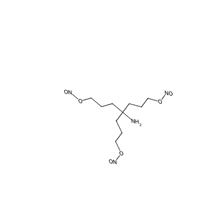 NC(CCCON=O)(CCCON=O)CCCON=O